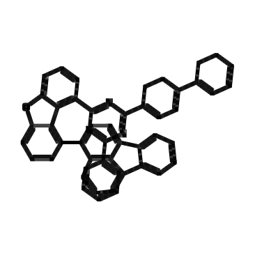 C1=CCCC(C2=CC=C(c3nc(-c4ccccc4)nc(-c4cccc5oc6cccc(-c7ccc8c9c(cccc79)-c7ccccc7-8)c6c45)n3)CC2)=C1